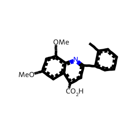 COc1cc(OC)c2nc(-c3ccccc3C)cc(C(=O)O)c2c1